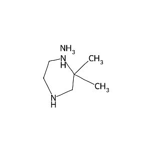 CC1(C)CNCCN1.N